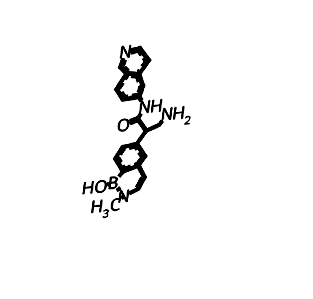 CN1C=Cc2cc(C(CN)C(=O)Nc3ccc4cnccc4c3)ccc2B1O